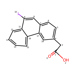 O=C(O)Cc1ccc2cc(I)c3ccccc3c2c1